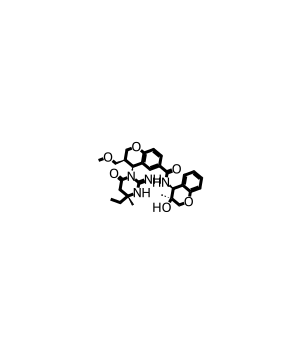 CC[C@]1(C)CC(=O)N([C@H]2c3cc(C(=O)N[C@H]4c5ccccc5OC[C@@]4(C)O)ccc3OC[C@@H]2COC)C(=N)N1